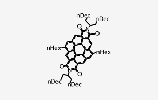 CCCCCCCCCCCC(CCCCCCCCCCC)n1c(=O)c2cc3cc(CCCCCC)c4cc5c(=O)n(C(CCCCCCCCCCC)CCCCCCCCCCC)c(=O)c6cc7cc(CCCCCC)c8cc(c1=O)c2c1c3c4c(c65)c7c81